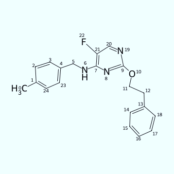 Cc1ccc(CNc2nc(OCCc3ccccc3)ncc2F)cc1